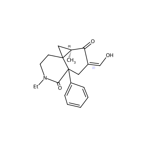 CCN1CCC23C[C@@]2(C)C(=O)/C(=C\O)CC3(c2ccccc2)C1=O